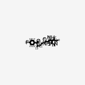 Cc1nnc2sc(C(=O)NCCN(C)C(=O)c3ccc(F)cc3)c(N)c2c1C